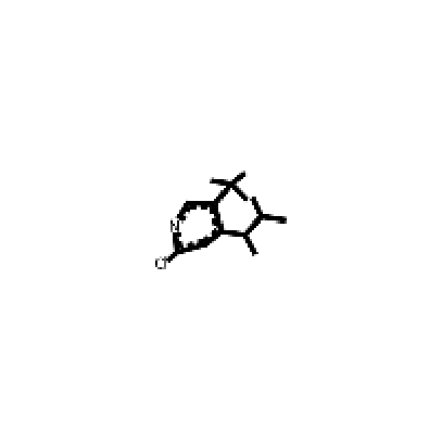 CC(C)C(C)c1cc(Cl)ncc1C(C)(C)C